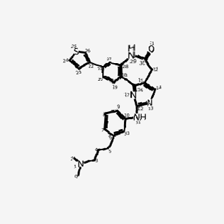 CN(C)CCCc1cccc(Nc2ncc3c(n2)-c2ccc(-c4ccsc4)cc2NC(=O)C3)c1